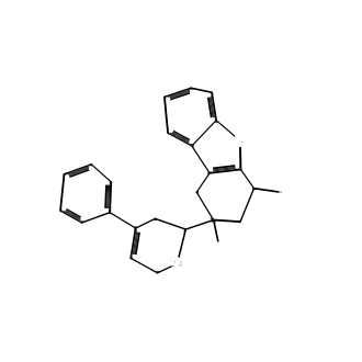 CC1CC(C)(C2CC(c3ccccc3)=CCN2)Cc2c1[nH]c1ccccc21